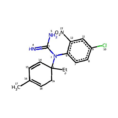 CCC1(N(C(=N)N)c2ccc(Cl)cc2[N+](=O)[O-])C=CC(C)=CC1